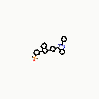 CP(C)(=O)c1cccc(-c2ccc(-c3ccc(-c4nc(-c5ccccc5)nc5ccccc45)cc3)c3ccccc23)c1